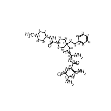 CN1CCC(NC(=O)N2CCC(CCc3cc#ccc3)(CN/C(N)=N/C(=O)c3nc(Cl)c(N)nc3N)CC2)CC1